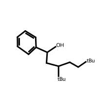 CC(C)(C)CCC(CC(O)c1ccccc1)C(C)(C)C